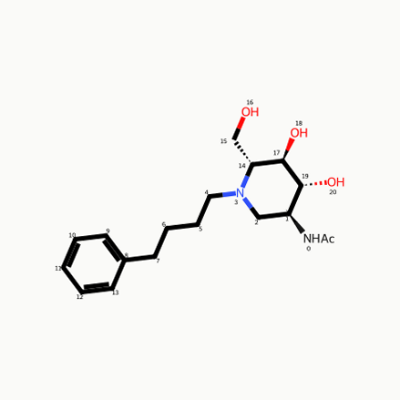 CC(=O)N[C@H]1CN(CCCCc2ccccc2)[C@H](CO)[C@@H](O)[C@@H]1O